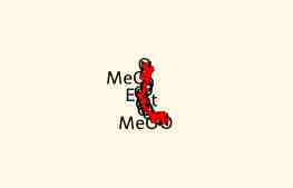 CCC(COCC(CC)OC(=O)CCC(=O)OCCOc1ccc(C2(c3ccc(OC)cc3)C=Cc3c(cc(N4CCOCC4)c4ccccc34)O2)cc1)OC(=O)CCC(=O)COCOc1ccc(C2(c3ccc(OC)cc3)C=Cc3c(cc(N4CCOCC4)c4ccccc34)O2)cc1